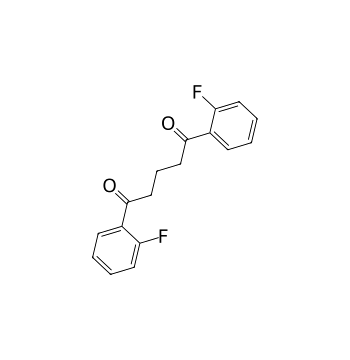 O=C(CCCC(=O)c1ccccc1F)c1ccccc1F